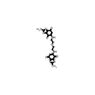 Cc1nc2c(s1)C(=O)C=C(NCCOCCNC1=CC(=O)c3sc(C)nc3C1=O)C2=O